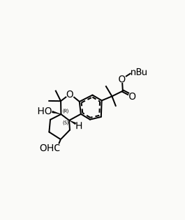 CCCCOC(=O)C(C)(C)c1ccc2c(c1)OC(C)(C)[C@@]1(O)CCC(C=O)C[C@@H]21